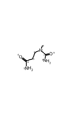 CN(CCC(N)=O)C(N)=O